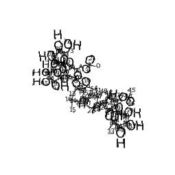 CC(=O)OC[C@H]1O[C@@H](OC(=O)[C@]23CCC(C)(C)C[C@H]2C2=CC[C@@H]4[C@@]5(C)C[C@H](O)[C@H](O[C@@H]6O[C@H](C)[C@H](O)[C@H](O)[C@H]6O)[C@@](C)(COC(C)=O)[C@@H]5CC[C@@]4(C)[C@]2(C)CC3)[C@H](O[C@@H]2O[C@@H](C)[C@H](O)[C@@H](O)[C@H]2O)[C@@H](O[C@@H]2O[C@H](CO)[C@H](O)[C@H](O)[C@H]2O)[C@@H]1O